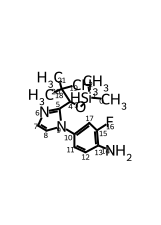 C[SiH](C)OC(c1nccn1-c1ccc(N)c(F)c1)C(C)(C)C